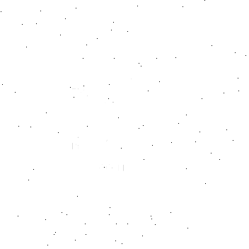 C=CC1=CC(C(=O)O)(C(C)C)CC(C(=O)O)(C(C)C)C1